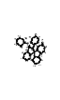 Clc1ccc2c(c1)C1(c3ccccc3-2)c2ccccc2-c2c1c1ccccc1n2-c1ccccc1